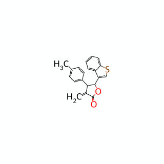 C=C1C(=O)OC(c2csc3ccccc23)C1c1ccc(C)cc1